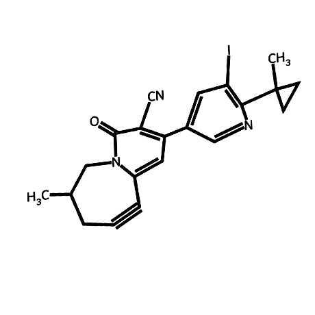 CC1CC#Cc2cc(-c3cnc(C4(C)CC4)c(I)c3)c(C#N)c(=O)n2C1